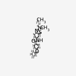 CCCCN(C)c1nc2ccc(NC(=O)c3ccc(OC4CCCC4)cc3)cc2s1